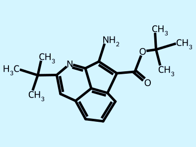 CC(C)(C)OC(=O)C1=C(N)c2nc(C(C)(C)C)cc3cccc1c23